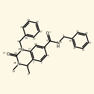 CC1c2ccc(C(=O)NCc3ccccc3)cc2N(Cc2ccccc2)C(=O)N1C